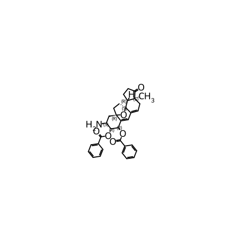 C[C@]12CC=C3C=C4[C@@H](OC(=O)c5ccccc5)[C@H](OC(=O)c5ccccc5)[C@@H](N)C[C@]45CC[C@]3(O5)[C@@H]1CCC2=O